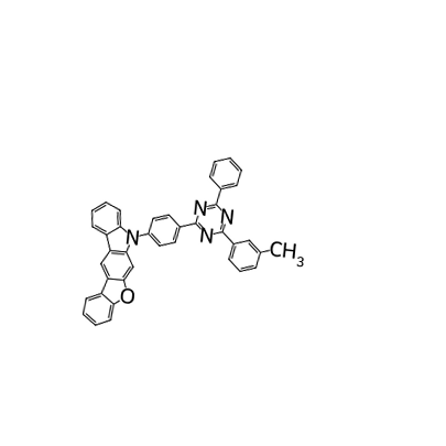 Cc1cccc(-c2nc(-c3ccccc3)nc(-c3ccc(-n4c5ccccc5c5cc6c(cc54)oc4ccccc46)cc3)n2)c1